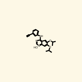 C#Cc1cccc(Nc2ncnc3cc(OC(C)C)c(OC(C)C)cc23)c1.Cl